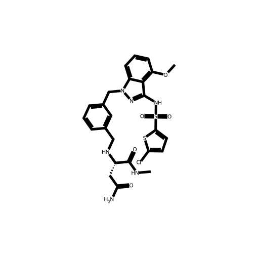 CNC(=O)[C@H](CC(N)=O)NCc1cccc(Cn2nc(NS(=O)(=O)c3ccc(Cl)s3)c3c(OC)cccc32)c1